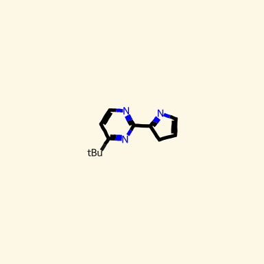 CC(C)(C)c1ccnc(C2=NC=CC2)n1